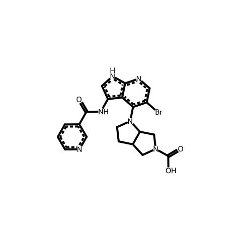 O=C(Nc1c[nH]c2ncc(Br)c(N3CCC4CN(C(=O)O)CC43)c12)c1cccnc1